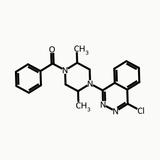 CC1CN(c2nnc(Cl)c3ccccc23)C(C)CN1C(=O)c1ccccc1